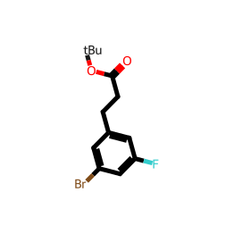 CC(C)(C)OC(=O)CCc1cc(F)cc(Br)c1